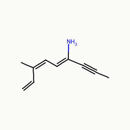 C=C/C(C)=C\C=C(/N)C#CC